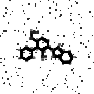 CCCCCCCCOc1ccc(-n2nc3ccccc3n2)c(O)c1-c1ccccc1